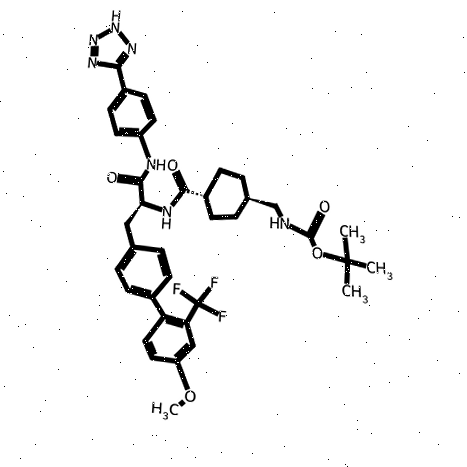 COc1ccc(-c2ccc(C[C@H](NC(=O)[C@H]3CC[C@H](CNC(=O)OC(C)(C)C)CC3)C(=O)Nc3ccc(-c4nn[nH]n4)cc3)cc2)c(C(F)(F)F)c1